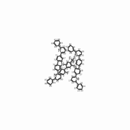 Fc1cccc(F)c1-c1cc(-n2c3cc(-c4cccc(-c5ccccc5)n4)ccc3c3ccc(-c4cccc(-c5ccccc5)n4)cc32)c(C(F)(F)F)cc1-n1c2cc(-c3cccc(-c4ccccc4)n3)ccc2c2ccc(-c3cccc(-c4ccccc4)n3)cc21